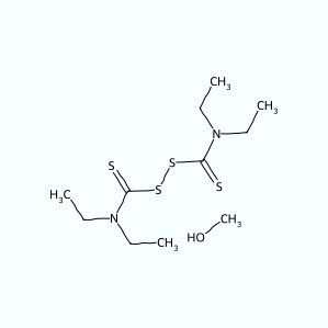 CCN(CC)C(=S)SSC(=S)N(CC)CC.CO